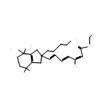 CCCCCC1(/C=C/C=C/C(C)=C\C(=O)OCC)CC2=C(C1)C(C)(C)CCC2(C)C